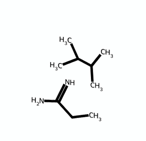 CC(C)C(C)C.CCC(=N)N